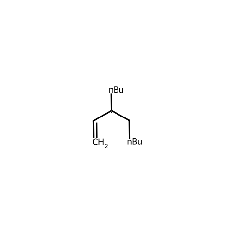 C=C[C](CCCC)CCCCC